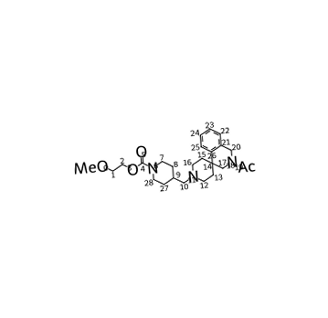 COCCOC(=O)N1CCC(CN2CCC3(CC2)CN(C(C)=O)Cc2ccccc23)CC1